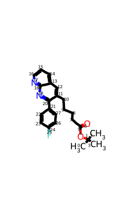 CC(C)(C)OC(=O)CCCCc1cc2cccnc2nc1-c1ccc(F)cc1